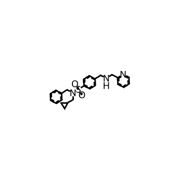 O=S(=O)(c1ccc(CNCc2ccccn2)cc1)N(Cc1ccccc1)CC1CC1